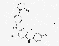 CC(C)[C@@H](NC(=O)Nc1ccc(Cl)cc1)C(=O)Nc1ccc(N2CCNC2=N)cc1